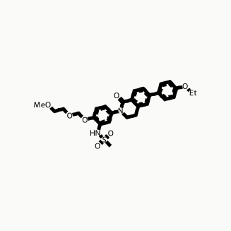 CCOc1ccc(-c2ccc3c(c2)CCN(c2ccc(OCOCCOC)c(NS(C)(=O)=O)c2)C3=O)cc1